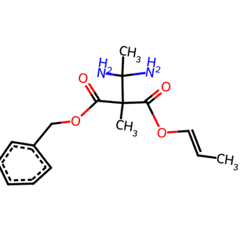 CC=COC(=O)C(C)(C(=O)OCc1ccccc1)C(C)(N)N